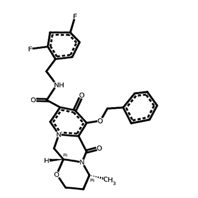 C[C@@H]1CCO[C@@H]2Cn3cc(C(=O)NCc4ccc(F)cc4F)c(=O)c(OCc4ccccc4)c3C(=O)N12